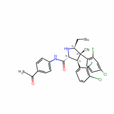 BC(=O)c1ccc(NC(=O)[C@@H]2N[C@@H](CC(C)(C)C)[C@](C#N)(c3ccc(Cl)cc3F)[C@H]2c2cccc(Cl)c2F)cc1